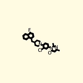 Cc1cc(=O)n(-c2ccc(N3CCC(Cc4ccc(F)c5ccccc45)CC3)c(Cl)c2)c(C)n1